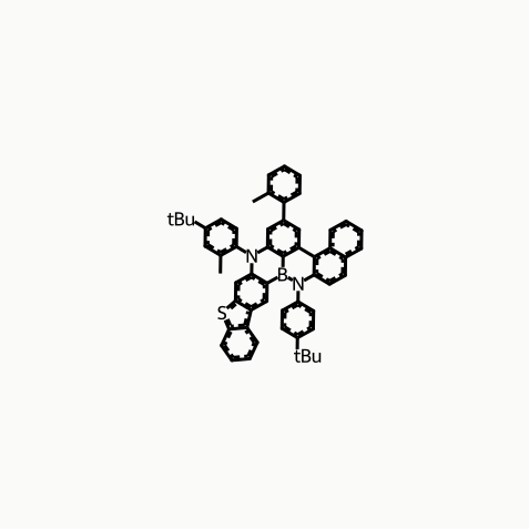 Cc1ccccc1-c1cc2c3c(c1)N(c1ccc(C(C)(C)C)cc1C)c1cc4sc5ccccc5c4cc1B3N(c1ccc(C(C)(C)C)cc1)c1ccc3ccccc3c1-2